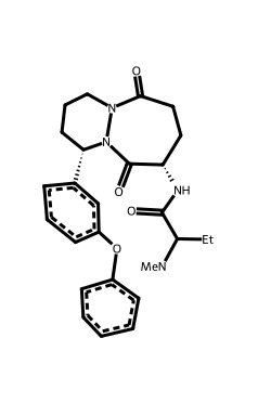 CCC(NC)C(=O)N[C@H]1CCC(=O)N2CCC[C@@H](c3cccc(Oc4ccccc4)c3)N2C1=O